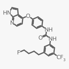 O=C(Nc1ccc(Oc2ccnc3[nH]ccc23)cc1)Nc1cc(CCCCF)cc(C(F)(F)F)c1